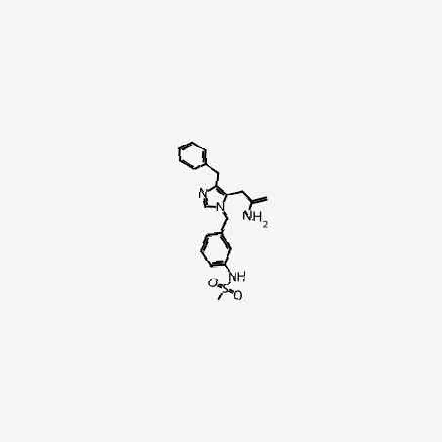 C=C(N)Cc1c(Cc2ccccc2)ncn1Cc1cccc(NS(C)(=O)=O)c1